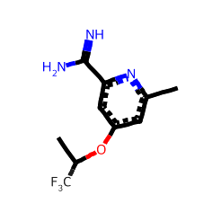 Cc1cc(OC(C)C(F)(F)F)cc(C(=N)N)n1